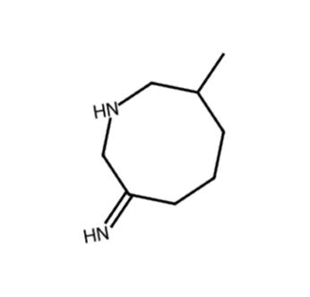 CC1CCCC(=N)CNC1